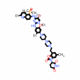 CCOc1cc(N2CCC(N3CCN(CCc4cc(C)cc5c4oc(=O)n5C4CCC(=O)NC4=O)CC3)CC2)c(CC)cc1Nc1ncc(Br)c(Nc2ccc3nc(CC)ccc3c2P(C)(C)=O)n1